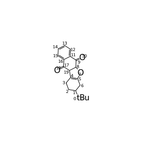 CC(C)(C)C1CCC2=C(C1)OC1C(=O)c3ccccc3C(=O)C21